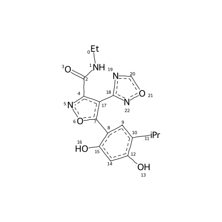 CCNC(=O)c1noc(-c2cc(C(C)C)c(O)cc2O)c1-c1ncon1